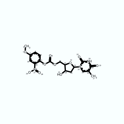 COc1ccc(OC(=O)OCC2OC(n3cc(C)c(=O)[nH]c3=O)CC2O)c([N+](=O)[O-])c1